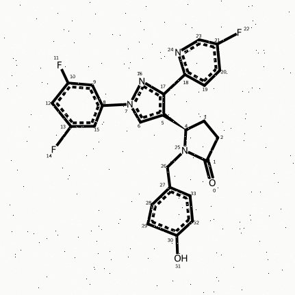 O=C1CC[C@H](c2cn(-c3cc(F)cc(F)c3)nc2-c2ccc(F)cn2)N1Cc1ccc(O)cc1